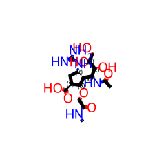 CNC(=O)CO[C@H]1[C@@H]([C@H](NC(C)=O)[C@@H](O)[C@@H](O)CO)[C@H](NC(=N)N)C[C@@H]1C(=O)O